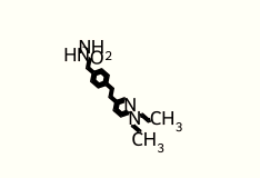 CCCN(CCC)c1ccc(CCc2ccc(CC(=O)NN)cc2)cn1